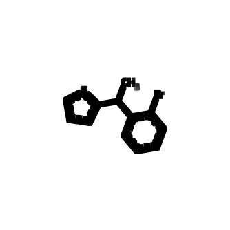 CC(c1cccs1)c1ccccc1Br